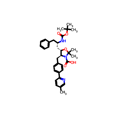 Cc1ccc(-c2ccc(C[C@H]3[C@H](C[C@H](Cc4ccccc4)NC(=O)OC(C)(C)C)OC(C)(C)N3C(=O)O)cc2)nc1